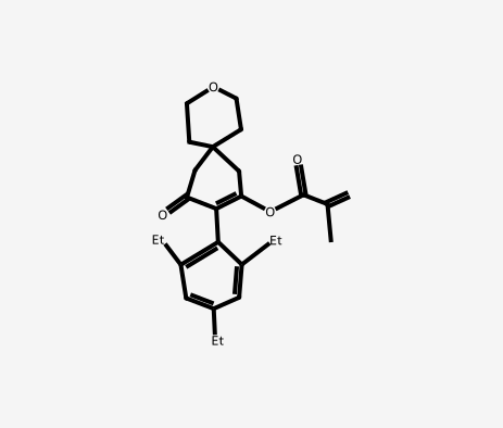 C=C(C)C(=O)OC1=C(c2c(CC)cc(CC)cc2CC)C(=O)CC2(CCOCC2)C1